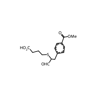 COC(=O)c1ccc(CC(C=O)SCCCC(=O)O)cc1